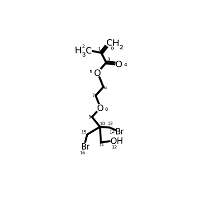 C=C(C)C(=O)OCCOCC(CO)(CBr)CBr